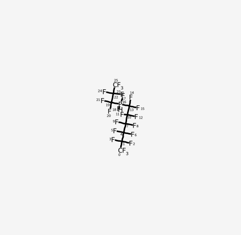 FC(F)(F)C(F)(F)C(F)(F)C(F)(F)C(F)(F)C(F)(F)[PH](F)(F)C(F)(F)C(F)(F)C(F)(F)F